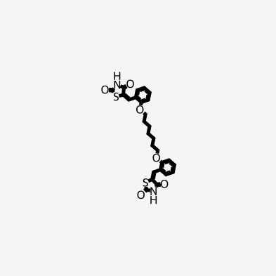 O=C1NC(=O)/C(=C\c2ccccc2OCCCCCCCOc2ccccc2/C=C2/SC(=O)NC2=O)S1